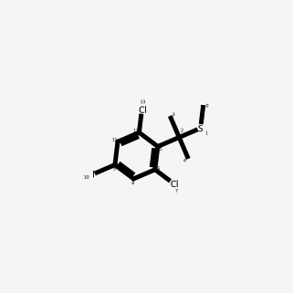 CSC(C)(C)c1c(Cl)cc(I)cc1Cl